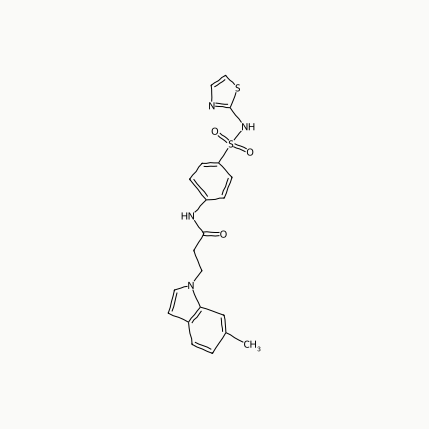 Cc1ccc2ccn(CCC(=O)Nc3ccc(S(=O)(=O)Nc4nccs4)cc3)c2c1